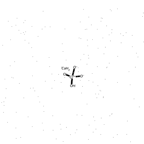 [CaH2].[O-][Cl+3]([O-])([O-])O